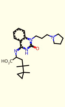 CC(C)(CC(N=c1[nH]c(=O)n(CCCN2CCCC2)c2ccccc12)C(=O)O)C1(C)CC1